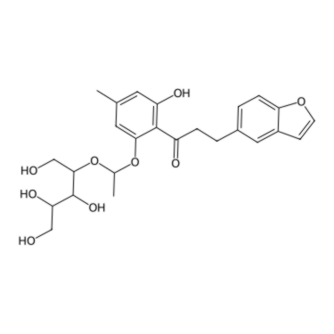 Cc1cc(O)c(C(=O)CCc2ccc3occc3c2)c(OC(C)OC(CO)C(O)C(O)CO)c1